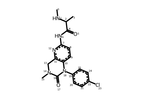 CNC(C)C(=O)Nc1ccc2c(n1)CN(C)C(=O)N2c1ccc(Cl)cc1